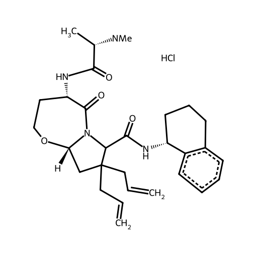 C=CCC1(CC=C)C[C@@H]2OCC[C@H](NC(=O)[C@H](C)NC)C(=O)N2C1C(=O)N[C@@H]1CCCc2ccccc21.Cl